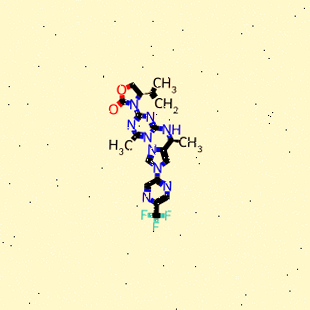 C=C(C)[C@H]1COC(=O)N1c1nc(C)nc(N[C@@H](C)c2cn(-c3cnc(C(F)(F)F)cn3)cn2)n1